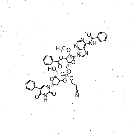 CO[C@H]1C(OC(=O)c2ccccc2)[C@@H](COP(=O)(OCCC#N)OC2C[C@H](n3cc(-c4ccccc4)c(=O)[nH]c3=O)O[C@@H]2CO)O[C@H]1n1cnc2c(NC(=O)c3ccccc3)ncnc21